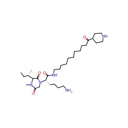 CC[C@H](C)C1C(=O)N([C@@H](CCCCN)C(=O)NCCCCCCCCCCC(=O)C2CCNCC2)CC(=O)N1C